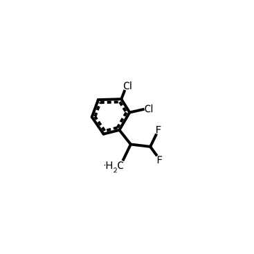 [CH2]C(c1cccc(Cl)c1Cl)C(F)F